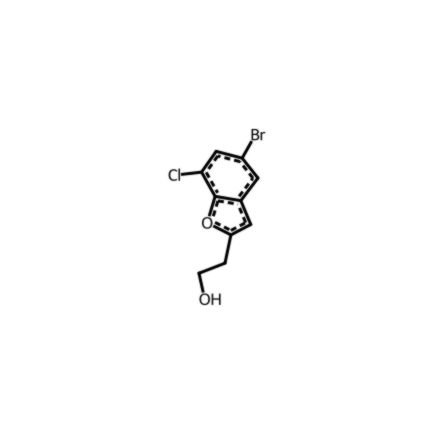 OCCc1cc2cc(Br)cc(Cl)c2o1